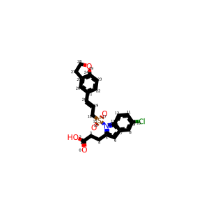 O=C(O)CCc1cc2cc(Cl)ccc2n1S(=O)(=O)CC=Cc1ccc2c(c1)CCO2